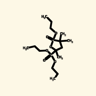 CCCOP1(=O)OC(C)(P(=O)(OCCC)OCCC)CC1(C)C